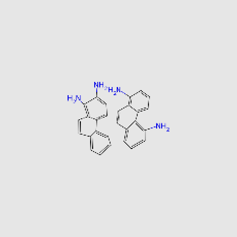 Nc1ccc2c(ccc3ccccc32)c1N.Nc1cccc2c1ccc1cccc(N)c12